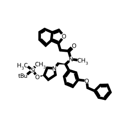 CN(C(=O)Cc1occ2ccccc12)[C@H](CN1CC[C@H](O[Si](C)(C)C(C)(C)C)C1)c1cccc(OCc2ccccc2)c1